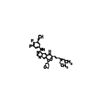 C#Cc1cc(Nc2ncnc3cc(O[C@H]4CCOC4)c(NC(=O)/C=C/CN(CC)CC)cc23)cc(F)c1F